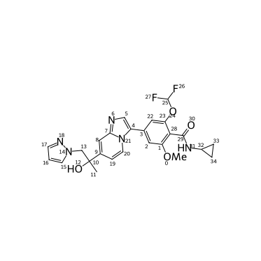 COc1cc(-c2cnc3cc(C(C)(O)Cn4cccn4)ccn23)cc(OC(F)F)c1C(=O)NC1CC1